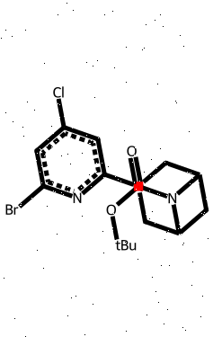 CC(C)(C)OC(=O)N1C2CC1CN(c1cc(Cl)cc(Br)n1)C2